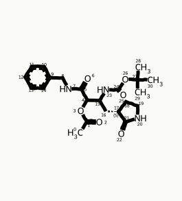 CC(=O)OC(C(=O)NCc1ccccc1)C(C[C@@H]1CCNC1=O)NC(=O)OC(C)(C)C